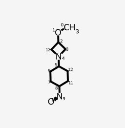 COC1CN(C2CCC(N=O)CC2)C1